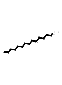 C=CCCCCCCC=CCCCCC=O